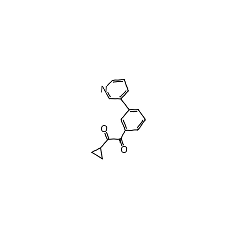 O=C(C(=O)C1CC1)c1cccc(-c2cccnc2)c1